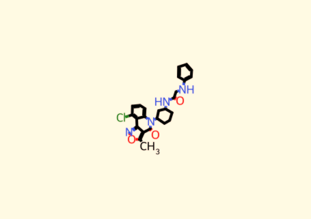 Cc1onc2c1c(=O)n(C1CCCC(NC(=O)CNc3ccccc3)C1)c1cccc(Cl)c21